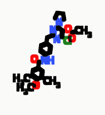 COc1c(C)cc(C(=O)Nc2ccc(Cc3nc(Cl)c(OC(C)=O)c(N4CCCC4)n3)cc2)cc1C